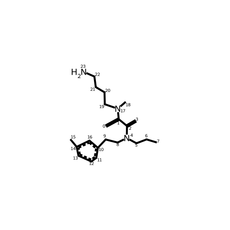 C=C(C(=C)N(CCC)CCc1cccc(C)c1)N(C)CCCCN